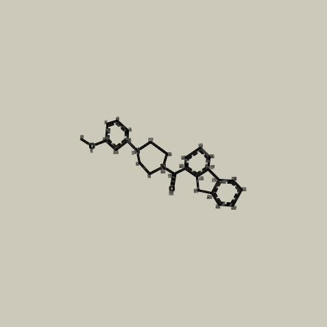 COc1cccc(N2CCN(C(=O)c3cccc4c3Cc3ccccc3-4)CC2)c1